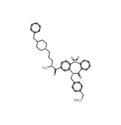 CCOC(=O)Cc1ccc(CN2C(=O)c3ccccc3S(=O)(=O)c3ccc(C(=O)N(C)CCCN4CCC(Cc5ccccc5)CC4)cc32)cc1